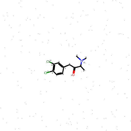 [CH2]C(C(=O)Cc1ccc(Cl)c(Cl)c1)N(C)C